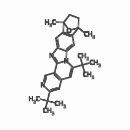 CC(C)(C)c1cc2cc(C(C)(C)C)n3c4cc5c(cc4nc3c2cn1)C1(C)CCC5(C)O1